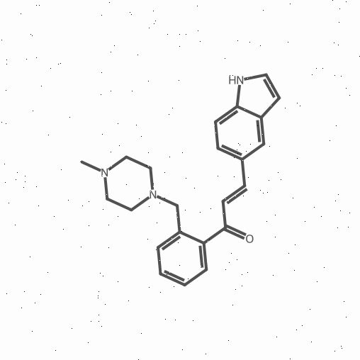 CN1CCN(Cc2ccccc2C(=O)C=Cc2ccc3[nH]ccc3c2)CC1